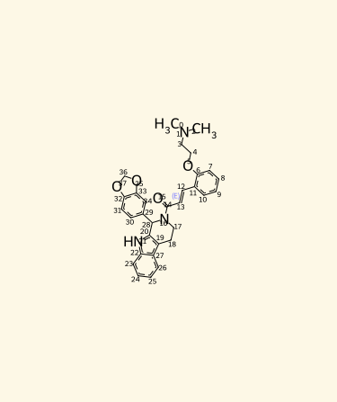 CN(C)CCOc1ccccc1/C=C/C(=O)N1CCc2c([nH]c3ccccc23)C1c1ccc2c(c1)OCO2